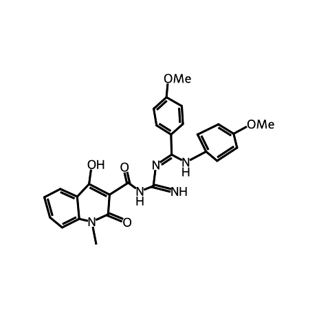 COc1ccc(N/C(=N\C(=N)NC(=O)c2c(O)c3ccccc3n(C)c2=O)c2ccc(OC)cc2)cc1